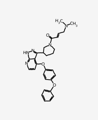 CN(C)C/C=C/C(=O)N1CCCC(c2n[nH]c3nccc(Oc4ccc(Oc5ccccc5)cc4)c23)C1